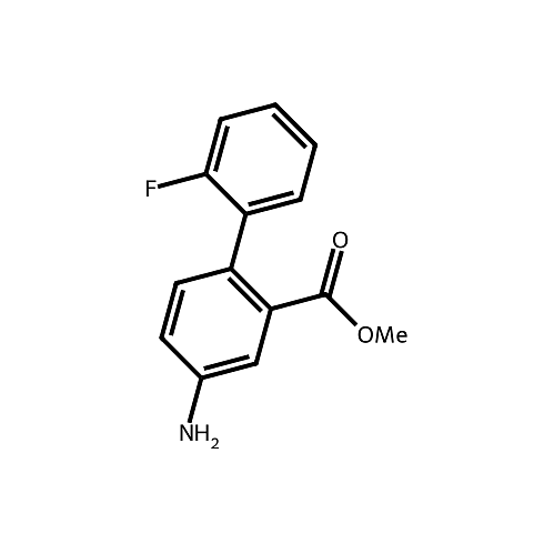 COC(=O)c1cc(N)ccc1-c1ccccc1F